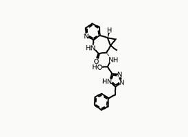 CC12C[C@H]1c1cccnc1NC(=O)[C@H]2NC(O)c1nnc(Cc2ccccc2)[nH]1